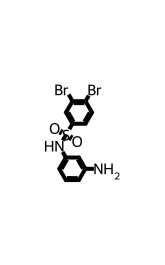 Nc1cccc(NS(=O)(=O)c2ccc(Br)c(Br)c2)c1